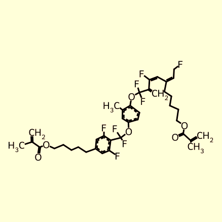 C=C(C)C(=O)OCCCCCC(=C/CF)/C=C(/F)C(=C)C(F)(F)Oc1ccc(OC(F)(F)c2c(F)cc(CCCCCOC(=O)C(=C)C)cc2F)cc1C